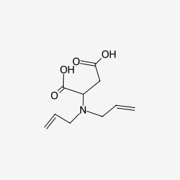 C=CCN(CC=C)C(CC(=O)O)C(=O)O